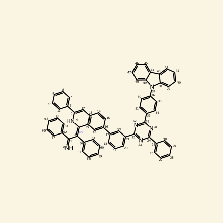 N=C(/C(=C1\NC(c2ccccc2)=Cc2ccc(-c3cccc(-c4nc(-c5ccccc5)nc(-c5ccc(-n6c7ccccc7c7ccccc76)cc5)n4)c3)cc21)c1ccccc1)c1ccccc1